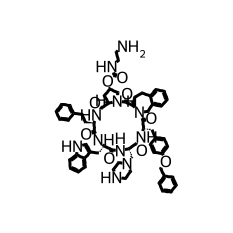 NCCNC(=O)O[C@@H]1C[C@H]2C(=O)N[C@H](CCc3ccccc3)C(=O)N[C@@H](Cc3c[nH]c4ccccc34)C(=O)N[C@@H](CN3CCNCC3)C(=O)N[C@@H](Cc3ccc(OCc4ccccc4)cc3)C(=O)N3Cc4ccccc4CC[C@H]3C(=O)N2C1